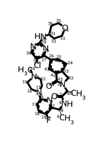 C[C@H](C(=O)N[C@H](C)c1nc(N2CCN(C)CC2)ccc1F)N1Cc2ccc(-c3nc(NC4CCOCC4)ncc3Cl)cc2C1=O